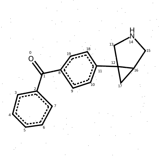 O=C(c1ccccc1)c1ccc(C23CNCC2C3)cc1